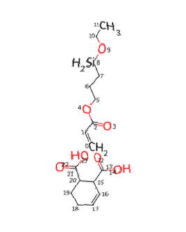 C=CC(=O)OCCC[SiH2]OCC.O=C(O)C1C=CCCC1C(=O)O